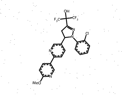 COc1ccc(-c2ccc(C3CC(C(O)(C(F)(F)F)C(F)(F)F)=NN3c3ccccc3Cl)cn2)cn1